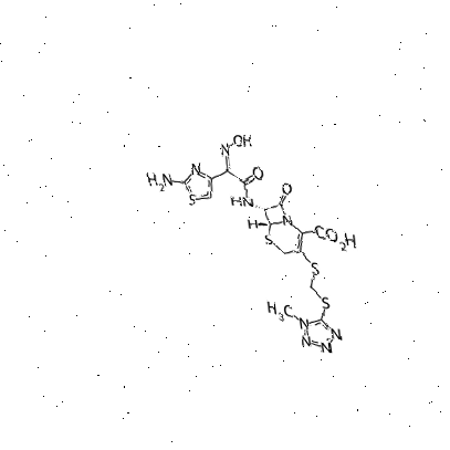 Cn1nnnc1SCSC1=C(C(=O)O)N2C(=O)[C@@H](NC(=O)/C(=N\O)c3csc(N)n3)[C@H]2SC1